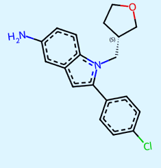 Nc1ccc2c(c1)cc(-c1ccc(Cl)cc1)n2C[C@@H]1CCOC1